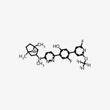 [2H]C([2H])([2H])Oc1cc(-c2cc(O)c(-c3ccc(N(C)C4C[C@]5(C)CC[C@](C)(C4)N5)nn3)cc2F)cc(F)n1